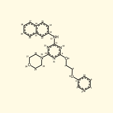 c1cncc(OCCOc2nc(Nc3ccc4ccccc4c3)nc(N3CCOCC3)n2)c1